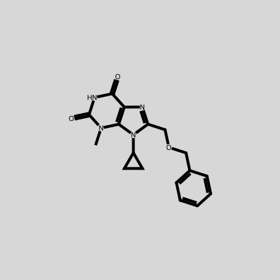 Cn1c(=O)[nH]c(=O)c2nc(COCc3ccccc3)n(C3CC3)c21